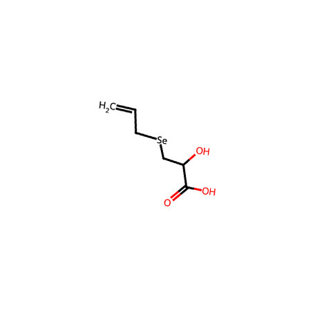 C=CC[Se]CC(O)C(=O)O